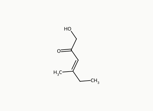 CCC(C)=CC(=O)CO